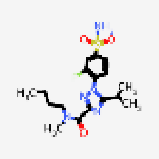 CCCCN(C)C(=O)c1nc(C(C)C)n(-c2ccc(S(N)(=O)=O)cc2F)n1